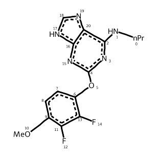 CCCNc1nc(Oc2ccc(OC)c(F)c2F)nc2[nH]cnc12